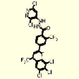 O=C(NNc1cc(Cl)nnc1Cl)c1ccc(C(F)=CC(c2cc(Cl)c(Cl)c(Cl)c2)C(F)(F)F)cc1C(F)(F)F